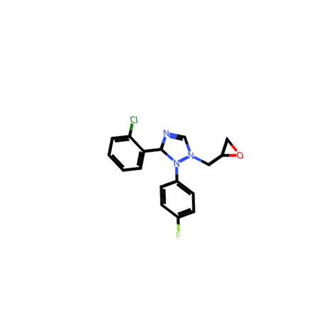 Fc1ccc(N2C(c3ccccc3Cl)N=CN2CC2CO2)cc1